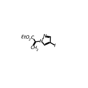 C=C(C(=O)OCC)n1cc(I)cn1